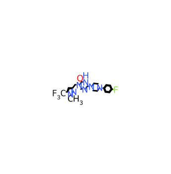 Cn1nc(CN2C=NC(N3CCN(c4ccc(F)cc4)CC3)NC2=O)cc1C(F)(F)F